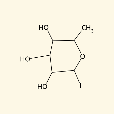 CC1OC(I)C(O)C(O)C1O